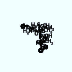 CC(C)C[C@H](NC(CCN(C(=O)CNC(=O)[C@@H](N)COCc1ccccc1)[C@@H](CC(C)C)C(=O)OC(C)(C)C)CNC(=O)OCC1c2ccccc2-c2ccccc21)C(=O)O